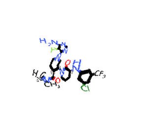 CN(C)C(=O)[C@H]1CCN(c2ncnc(N)c2F)C[C@@H]1N1CCC[C@@H](Nc2cc(Cl)cc(C(F)(F)F)c2)C1=O